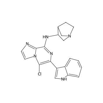 Clc1c(-c2c[nH]c3ccccc23)nc(NC2CN3CCC2C3)c2nccn12